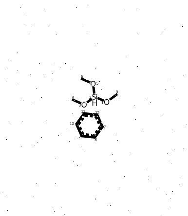 CO[SiH](OC)OC.c1ccccc1